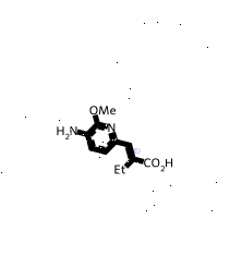 CC/C(=C\c1ccc(N)c(OC)n1)C(=O)O